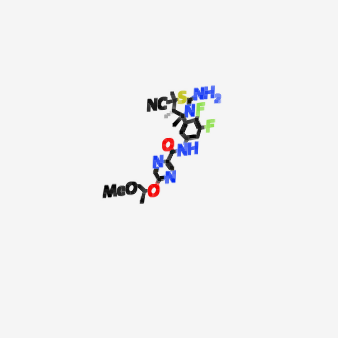 COC[C@H](C)Oc1cnc(C(=O)Nc2cc(F)c(F)c([C@@]3(C)N=C(N)S[C@](C)(C#N)[C@H]3C)c2)cn1